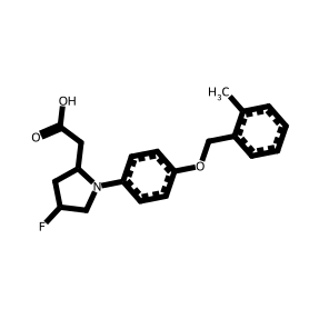 Cc1ccccc1COc1ccc(N2CC(F)CC2CC(=O)O)cc1